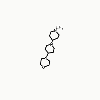 CN1CCC(N2CCC(N3CCOCC3)CC2)CC1